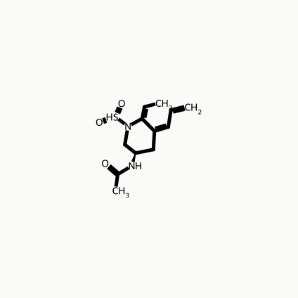 C=C/C=C1/C[C@@H](NC(C)=O)CN([SH](=O)=O)/C1=C/C